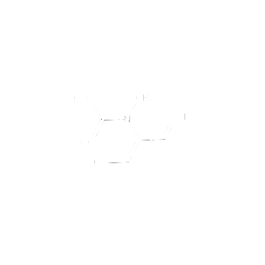 C=C/C(=C/C)N(C)C(=C)C